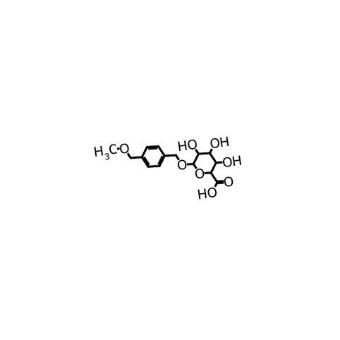 COCc1ccc(COC2OC(C(=O)O)C(O)C(O)C2O)cc1